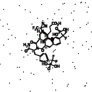 NC(=O)[C@H](Cc1ccc(C(F)(F)P(=O)(O)O)cc1)N(C(=O)c1cc(Br)cc(C2(C(F)(F)F)N=N2)c1)C(=O)[C@H](Cc1ccc(C(F)(F)P(=O)(O)O)cc1)NC(=O)[C@@H](N)CCC(=O)O